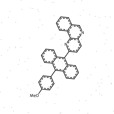 COc1ccc(-c2c3ccccc3c(-c3ccc4ncc5ccccc5c4n3)c3ccccc23)cc1